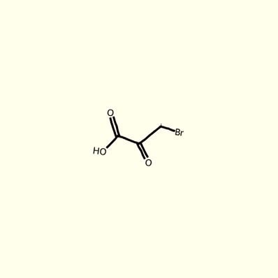 O=C(O)C(=O)[CH]Br